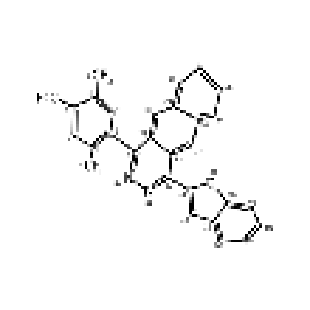 FC(F)(F)c1cc(C(F)(F)F)c(C(F)(F)F)cc1-c1nnc(-c2cc3ccccc3o2)c2cc3ccccc3cc12